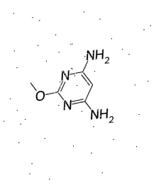 COc1nc(N)cc(N)n1